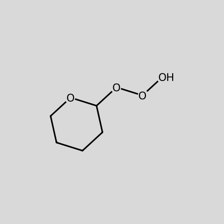 OOOC1CCCCO1